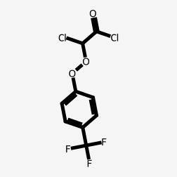 O=C(Cl)C(Cl)OOc1ccc(C(F)(F)F)cc1